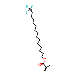 C=C(C)C(=O)OCCCCCCCCCCCCCC[Si](F)(F)F